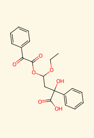 CCOC(CC(O)(C(=O)O)c1ccccc1)OC(=O)C(=O)c1ccccc1